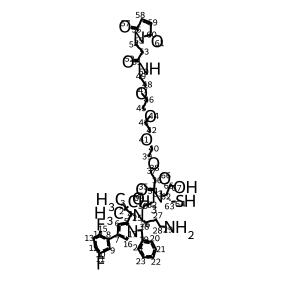 CC(C)(C)[C@H](c1cc(-c2cc(F)ccc2F)cn1Cc1ccccc1)N(CCCN)C(=O)CN(C(=O)CCOCCOCCOCCOCCNC(=O)CCN1C(=O)C=CC1=O)[C@@H](CS)C(=O)O